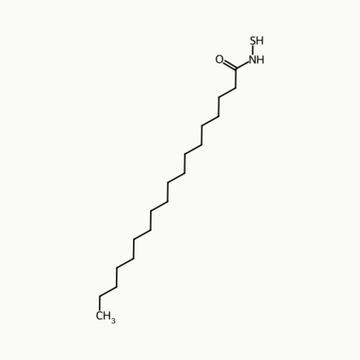 CCCCCCCCCCCCCCCCCC(=O)NS